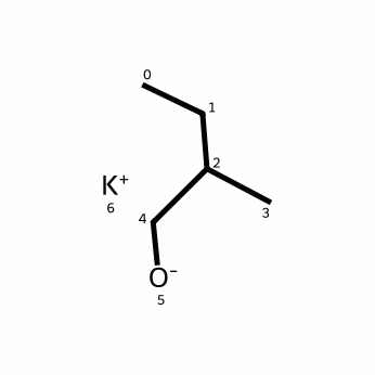 CCC(C)C[O-].[K+]